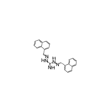 N=C(NN=Cc1cccc2ccccc12)NN=Cc1cccc2ccccc12